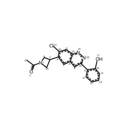 CC(=O)N1CC(c2cc3cc(-c4ccccc4O)nnc3cc2Cl)C1